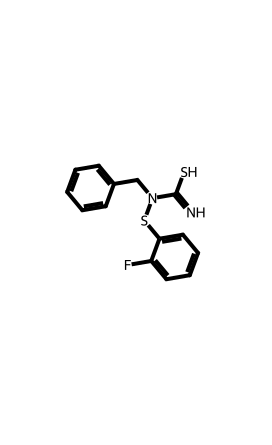 N=C(S)N(Cc1ccccc1)Sc1ccccc1F